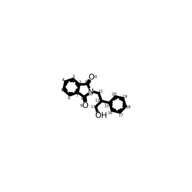 O=C1c2ccccc2C(=O)N1CC(CO)c1ccccc1